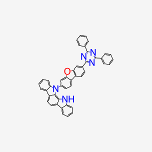 c1ccc(-c2nc(-c3ccccc3)nc(-c3ccc4c(c3)oc3cc(-n5c6ccccc6c6ccc7c8ccccc8[nH]c7c65)ccc34)n2)cc1